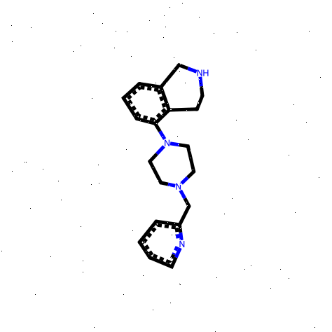 c1ccc(CN2CCN(c3cccc4c3CCNC4)CC2)nc1